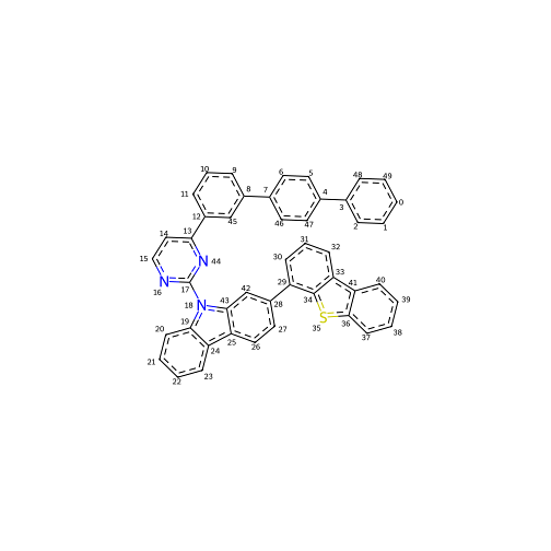 c1ccc(-c2ccc(-c3cccc(-c4ccnc(-n5c6ccccc6c6ccc(-c7cccc8c7sc7ccccc78)cc65)n4)c3)cc2)cc1